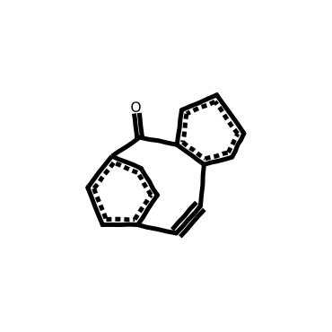 O=C1c2ccc(cc2)C#Cc2ccccc21